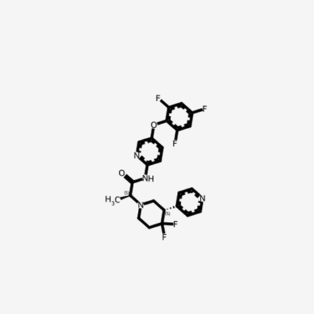 C[C@@H](C(=O)Nc1ccc(Oc2c(F)cc(F)cc2F)cn1)N1CCC(F)(F)[C@@H](c2ccncc2)C1